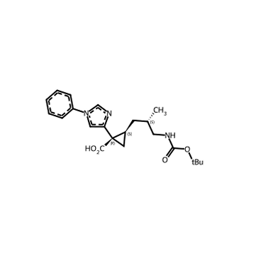 C[C@H](CNC(=O)OC(C)(C)C)C[C@H]1C[C@]1(C(=O)O)c1cn(-c2ccccc2)cn1